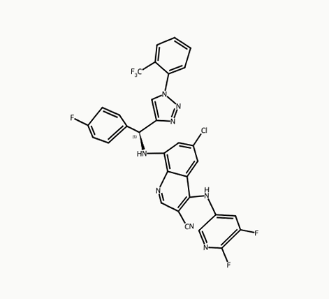 N#Cc1cnc2c(N[C@@H](c3ccc(F)cc3)c3cn(-c4ccccc4C(F)(F)F)nn3)cc(Cl)cc2c1Nc1cnc(F)c(F)c1